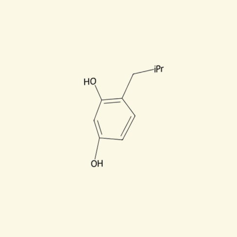 CC(C)Cc1ccc(O)cc1O